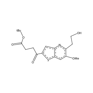 COc1cc2sc(C(=O)CCC(=O)OC(C)(C)C)cc2nc1CCO